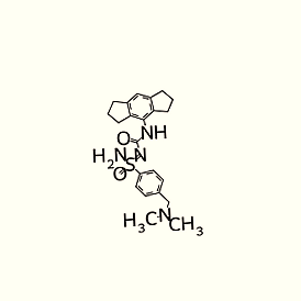 CN(C)Cc1ccc([S@@](N)(=O)=NC(=O)Nc2c3c(cc4c2CCC4)CCC3)cc1